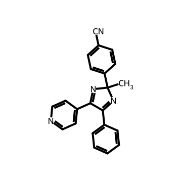 CC1(c2ccc(C#N)cc2)N=C(c2ccccc2)C(c2ccncc2)=N1